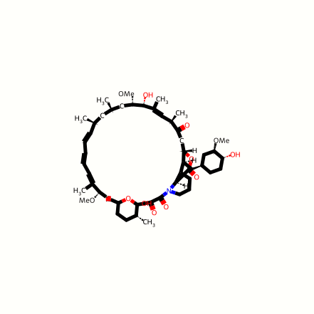 CO[C@H]1C[C@@H]2CC[C@@H](C)[C@@](O)(O2)C(=O)C(=O)N2CCCC3[C@H]2C(=O)O[C@@H](CC(=O)[C@H](C)/C=C(\C)[C@@H](O)[C@@H](OC)C[C@H](C)C[C@H](C)/C=C/C=C/C=C/1C)[C@H]3C[C@@H]1CC[C@@H](O)[C@H](OC)C1